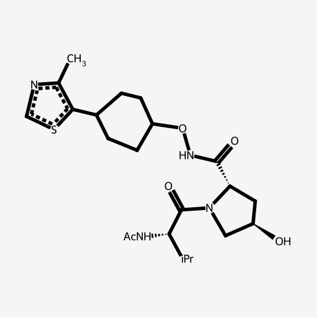 CC(=O)N[C@H](C(=O)N1C[C@H](O)C[C@H]1C(=O)NOC1CCC(c2scnc2C)CC1)C(C)C